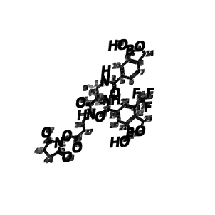 C[C@H](NC(=O)c1ccc2c(c1)B(O)OC2)[C@H](NC(=O)c1cc2c(c(C(F)(F)F)c1)COB2O)C(=O)NCCC(=O)ON1C(=O)CCC1=O